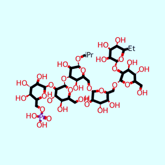 CCC1O[C@@H](OC2[C@@H](OCC3O[C@H](OCC4O[C@@H](OC(C)C)C(O)[C@@H](O[C@@H]5OC(CO)[C@@H](O)[C@H](O)C5O[C@H]5OC(COP(=O)(O)O)[C@@H](O)[C@H](O)C5O)[C@@H]4O)C(O)[C@@H](O)[C@@H]3O)OC(CO)[C@@H](O)[C@@H]2O)C(O)[C@@H](O)[C@@H]1O